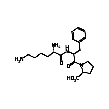 NCCCC[C@H](N)C(=O)N[C@@H](Cc1ccccc1)C(=O)N1CCC[C@H]1C(=O)O